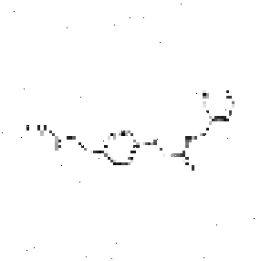 O=C(O)NCCc1ccc(OCC(=O)OCc2ccccc2)cc1